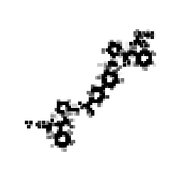 COC(=O)N[C@@H](C(=O)N1CCC[C@H]1CNC(=O)c1ccc(-c2ccc3nc([C@@H]4CCCN4C(=O)[C@H](NC(=O)OC)c4ccccc4)[nH]c3c2)cn1)c1ccccc1